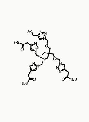 CC(=O)Cc1cn(COCC(COCn2cc(CC(=O)C(C)(C)C)nn2)(COCn2cc(CC(=O)C(C)(C)C)nn2)COCn2cc(CC(=O)C(C)(C)C)nn2)nn1